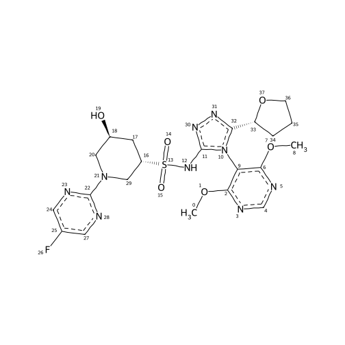 COc1ncnc(OC)c1-n1c(NS(=O)(=O)[C@H]2C[C@H](O)CN(c3ncc(F)cn3)C2)nnc1[C@H]1CCCO1